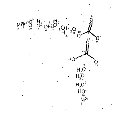 O.O.O.O.O.O.O.O.O=C([O-])[O-].O=C([O-])[O-].[Ni+2].[Ni+2].[Ni+2].[OH-].[OH-]